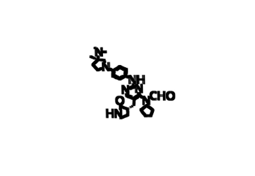 CN(C)[C@@]1(C)CCN(c2ccc(Nc3ncc(C[C@@H]4CCNC4=O)c(N(C=O)C4CCCC4)n3)cc2)C1